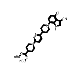 CCCCOC(OCCCC)C1CCN(c2ccc(C3CCN(c4ccc(Cl)c5c(C#N)c[nH]c45)CC3)nn2)CC1